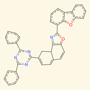 C1=Cc2oc(-c3cccc4c3oc3ccccc34)nc2C2CC(c3nc(-c4ccccc4)nc(-c4ccccc4)n3)=CC=C12